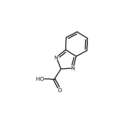 O=C(O)C1N=c2ccccc2=N1